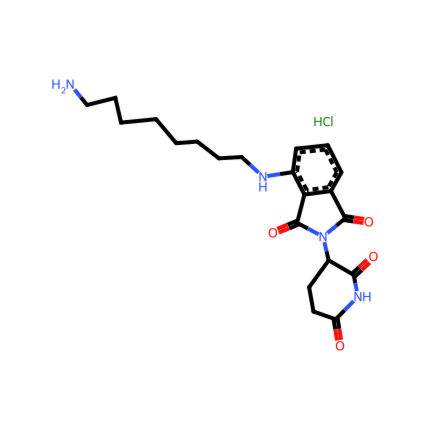 Cl.NCCCCCCCCNc1cccc2c1C(=O)N(C1CCC(=O)NC1=O)C2=O